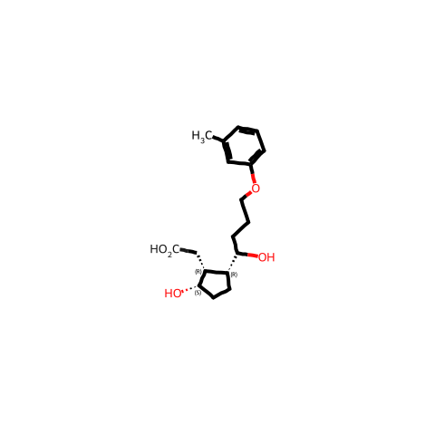 Cc1cccc(OCCCC(O)[C@@H]2CC[C@H](O)[C@@H]2CC(=O)O)c1